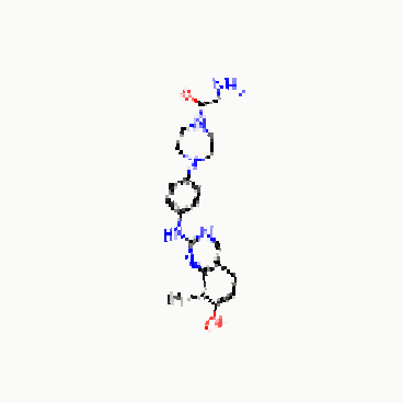 CC(C)C1C(O)=CCc2cnc(Nc3ccc(N4CCN(C(=O)CN)CC4)cc3)nc21